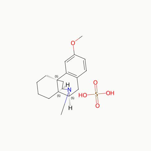 COc1ccc2c(c1)[C@]13CCCC[C@@H]1[C@H](C2)N(C)CC3.O=S(=O)(O)O